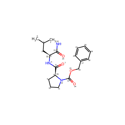 CC(C)C[C@H](NC(=O)[C@@H]1CCCN1C(=O)OCc1ccccc1)C([NH])=O